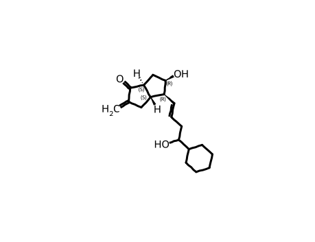 C=C1C[C@H]2[C@H](C=CCC(O)C3CCCCC3)[C@H](O)C[C@@H]2C1=O